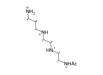 CC(=O)NCCNCCNCCCN